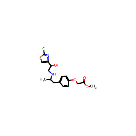 COC(=O)COc1ccc(CC(C)NCC(O)c2csc(Cl)n2)cc1